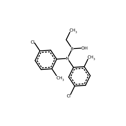 CCB(O)N(c1cc(Cl)ccc1C)c1cc(Cl)ccc1C